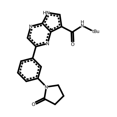 CC(C)(C)NC(=O)c1c[nH]c2ncc(-c3cccc(N4CCCC4=O)c3)nc12